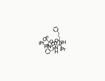 CC(C)C[C@H](NC(=O)CCCc1ccccc1)C(=O)N[C@@H](Cc1ccccc1)C(=O)N[C@@H](CC(C)C)C(=O)C1O[C@@H]1C